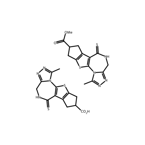 COC(=O)C1Cc2sc3c(c2C1)C(=S)NCc1nnc(C)n1-3.Cc1nnc2n1-c1sc3c(c1C(=S)NC2)CC(C(=O)O)C3